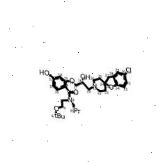 CC(C)CN(CCOC(C)(C)C)C(=O)c1ccc(O)cc1OC[C@H](O)CN1CCC2(CC1)Cc1cc(Cl)ccc1O2